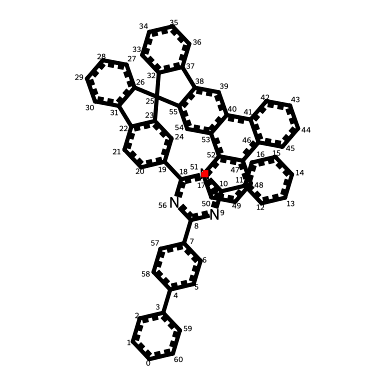 c1ccc(-c2ccc(-c3nc(-c4ccccc4)nc(-c4ccc5c(c4)C4(c6ccccc6-5)c5ccccc5-c5cc6c7ccccc7c7ccccc7c6cc54)n3)cc2)cc1